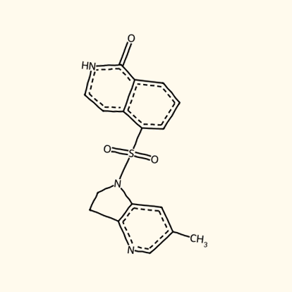 Cc1cnc2c(c1)N(S(=O)(=O)c1cccc3c(=O)[nH]ccc13)CC2